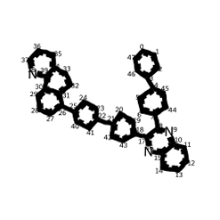 c1ccc(-c2ccc(-c3nc4ccccc4nc3-c3ccc(-c4ccc(-c5cccc6c5ccc5cccnc56)cc4)cc3)cc2)cc1